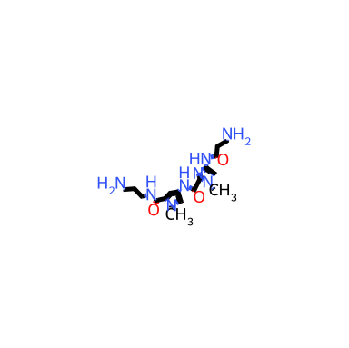 Cn1cc(NC(=O)c2nc(NC(=O)CCN)cn2C)cc1C(=O)NCCCN